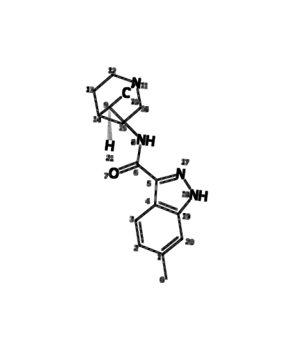 Cc1ccc2c(C(=O)N[C@@H]3CN4CCC3CC4)n[nH]c2c1